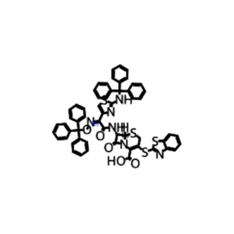 O=C(O)C1=C(Sc2nc3ccccc3s2)CS[C@H]2C(NC(=O)/C(=N\OC(c3ccccc3)(c3ccccc3)c3ccccc3)c3csc(NC(c4ccccc4)(c4ccccc4)c4ccccc4)n3)C(=O)N12